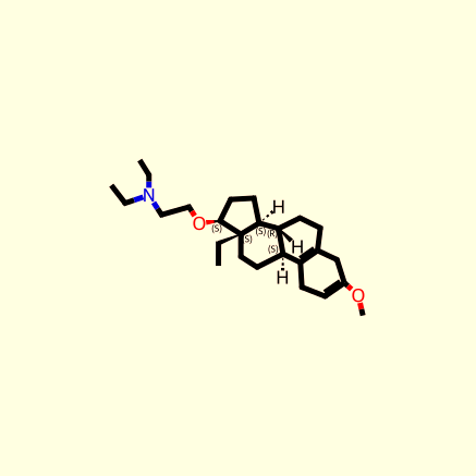 CCN(CC)CCO[C@H]1CC[C@H]2[C@@H]3CCC4=C(CC=C(OC)C4)[C@H]3CC[C@]12CC